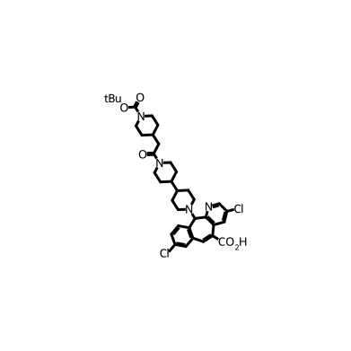 CC(C)(C)OC(=O)N1CCC(CC(=O)N2CCC(C3CCN(C4c5ccc(Cl)cc5C=C(C(=O)O)c5cc(Cl)cnc54)CC3)CC2)CC1